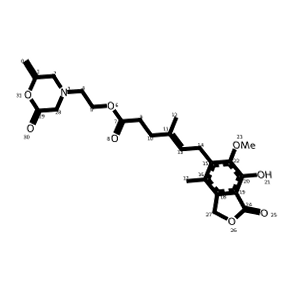 C=C1CN(CCOC(=O)CC/C(C)=C/Cc2c(C)c3c(c(O)c2OC)C(=O)OC3)CC(=O)O1